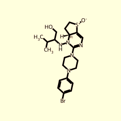 CC(C)C(CO)NN1C(N2CCN(c3ccc(Br)cc3)CC2)=NC=C2[C@H]1CC[S+]2[O-]